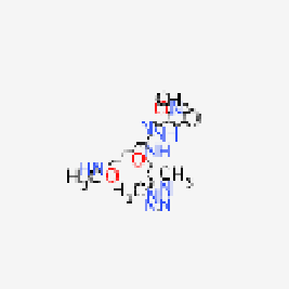 CNC(=O)CCCCC[C@H](NC(=O)CCc1c(C)nc2ncnn2c1C)c1ncc(-c2cc3ccccc3nc2OC)[nH]1